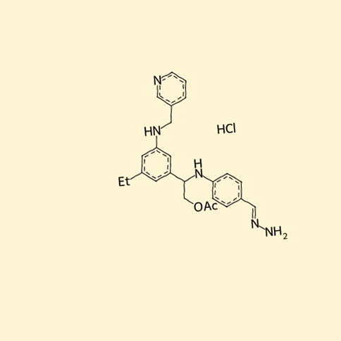 CCc1cc(NCc2cccnc2)cc(C(COC(C)=O)Nc2ccc(C=NN)cc2)c1.Cl